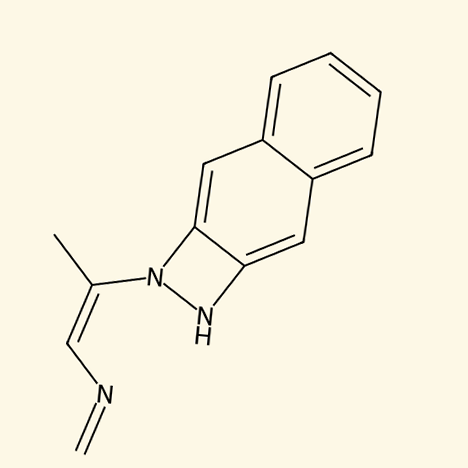 C=N/C=C(/C)n1[nH]c2cc3ccccc3cc21